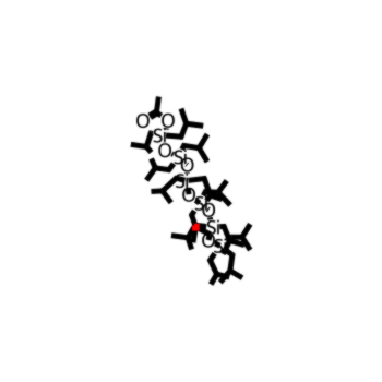 CC(=O)O[Si](CC(C)C)(CC(C)C)O[Si](CC(C)C)(CC(C)C)O[Si](CC(C)C)(CC(C)C)O[Si](CC(C)C)(CC(C)C)O[Si](CC(C)C)(CC(C)C)O[Si](CC(C)C)(CC(C)C)CC(C)C